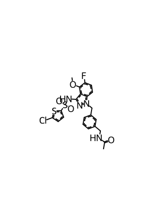 COc1c(F)ccc2c1c(NS(=O)(=O)c1ccc(Cl)s1)nn2Cc1cccc(CNC(C)=O)c1